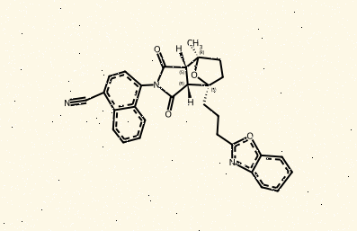 C[C@]12CC[C@](CCCc3nc4ccccc4o3)(O1)[C@@H]1C(=O)N(c3ccc(C#N)c4ccccc34)C(=O)[C@@H]12